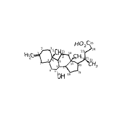 C=C1CC[C@@]2(C)C(C1)C[C@@H](O)C1C2CC[C@@]2(C)C1CCC2[C@H](C)CCC(=O)O